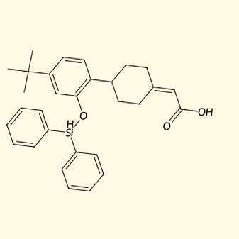 CC(C)(C)c1ccc(C2CCC(=CC(=O)O)CC2)c(O[SiH](c2ccccc2)c2ccccc2)c1